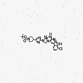 CC(C)(C)OC(=O)N1CCC(c2cnc(N3CCN4c5cc(-c6cccc(Cl)c6O)nnc5NC[C@@H]4C3)nc2)CC1